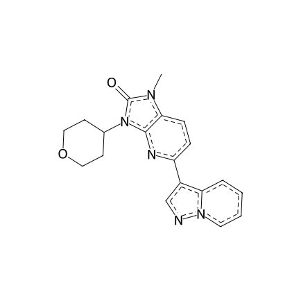 Cn1c(=O)n(C2CCOCC2)c2nc(-c3cnn4ccccc34)ccc21